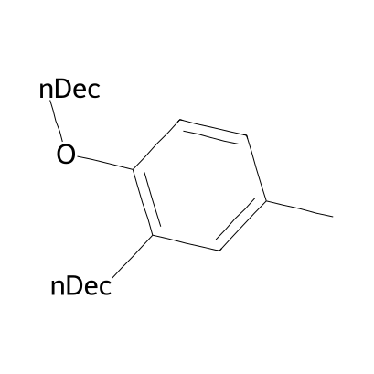 CCCCCCCCCCOc1ccc(C)cc1CCCCCCCCCC